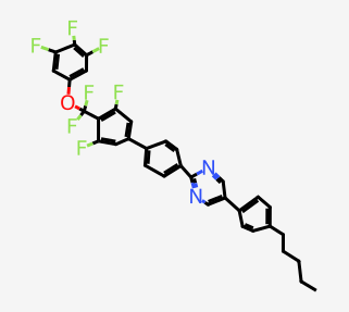 CCCCCc1ccc(-c2cnc(-c3ccc(-c4cc(F)c(C(F)(F)Oc5cc(F)c(F)c(F)c5)c(F)c4)cc3)nc2)cc1